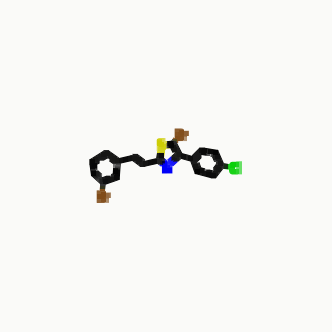 Clc1ccc(-c2nc(C=Cc3cccc(Br)c3)sc2Br)cc1